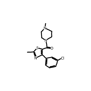 Cc1nc(-c2cccc(Cl)c2)c(C(=O)N2CCN(C)CC2)s1